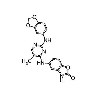 Cc1cnc(Nc2ccc3c(c2)OCO3)nc1Nc1ccc2oc(=O)[nH]c2c1